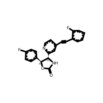 O=C1N[C@@H](c2cc(C#Cc3ccccc3F)ccn2)[C@H](c2ccc(F)cc2)O1